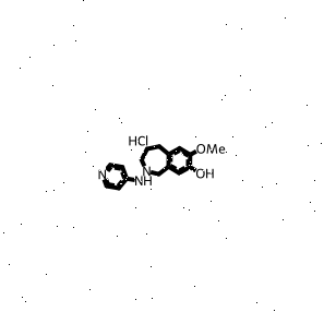 COc1cc2c(cc1O)CN(Nc1ccncc1)CCC2.Cl